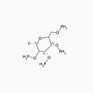 F[C@@H]1OC(COP)[C@H](OP)[C@H](OP)C1OP